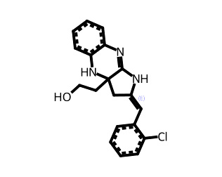 OCCC12C/C(=C\c3ccccc3Cl)NC1=Nc1ccccc1N2